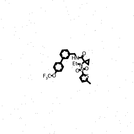 CCN(C1(C(=O)NCc2cccc(-c3ccc(OC(F)(F)F)cc3)c2)CC1)S(=O)(=O)c1ccc(C)s1